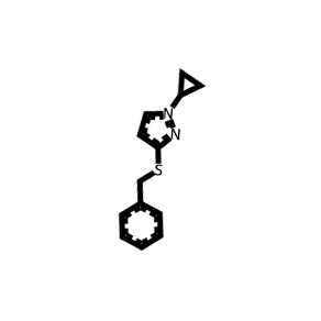 c1ccc(CSc2ccn(C3CC3)n2)cc1